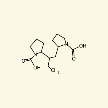 CCC(CC1CCCN1C(=O)O)C1CCCN1C(=O)O